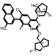 Oc1cc(-c2c(Cl)cc3c(N4C[C@H]5CC[C@@H](C4)N5)nc(OC[C@@]45CCCN4C[C@H](F)C5)nc3c2F)c2ccccc2c1